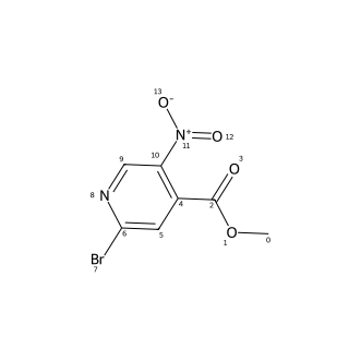 COC(=O)c1cc(Br)ncc1[N+](=O)[O-]